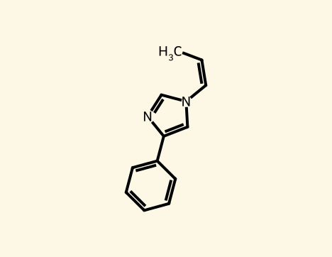 C/C=C\n1cnc(-c2ccccc2)c1